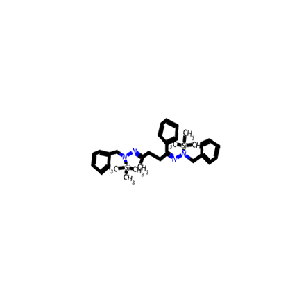 C/C(CC/C(=N/N(Cc1ccccc1)[Si](C)(C)C)c1ccccc1)=N\N(Cc1ccccc1)[Si](C)(C)C